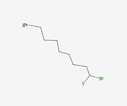 CC(C)CCCCCCCC(Br)I